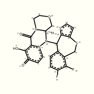 O=C1c2c(O)c(=O)ccn2N(C2c3ccc(F)c(F)c3CSc3ccsc32)[C@@H]2COCCN12